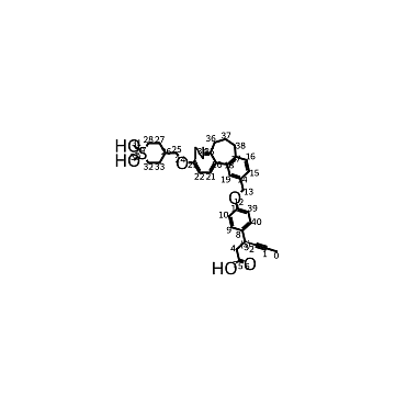 CC#C[C@@H](CC(=O)O)c1ccc(OCc2ccc3c(c2)-c2ccc(OCC4CCS(O)(O)CC4)nc2CCC3)cc1